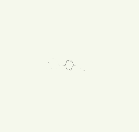 O=C(O)COc1ccc(N2CCNCC2)cc1